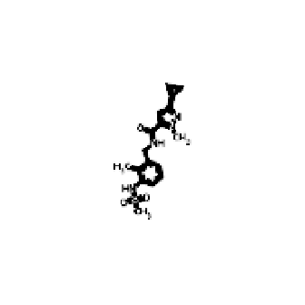 Cc1c(CNC(=O)c2cc(C3CC3)nn2C)cccc1NS(C)(=O)=O